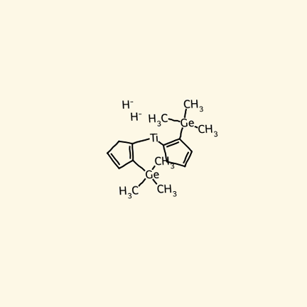 [CH3][Ge]([CH3])([CH3])[C]1=[C]([Ti][C]2=[C]([Ge]([CH3])([CH3])[CH3])C=CC2)CC=C1.[H-].[H-]